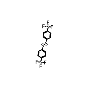 FS(F)(F)c1ccc(SSc2ccc(S(F)(F)F)cc2)cc1